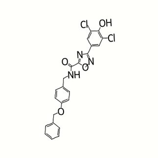 O=C(NCc1ccc(OCc2ccccc2)cc1)c1nc(-c2cc(Cl)c(O)c(Cl)c2)no1